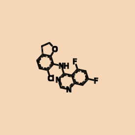 Fc1cc(F)c2c(Nc3c(Cl)ccc4c3OCC4)ncnc2c1